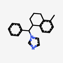 Cc1cccc2c1CCCC2C(c1ccccc1)n1ccnc1